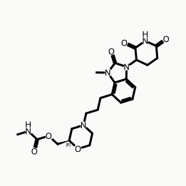 CNC(=O)OC[C@H]1CN(CCCc2cccc3c2n(C)c(=O)n3C2CCC(=O)NC2=O)CCO1